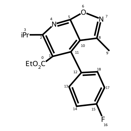 CCOC(=O)c1c(C(C)C)nc2onc(C)c2c1-c1ccc(F)cc1